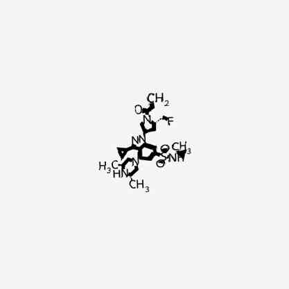 C=CC(=O)N1C[C@H](n2nc(C3CC3)c3c(N4C[C@H](C)N[C@@H](C)C4)cc(S(=O)(=O)NC4(C)CC4)cc32)C[C@H]1CF